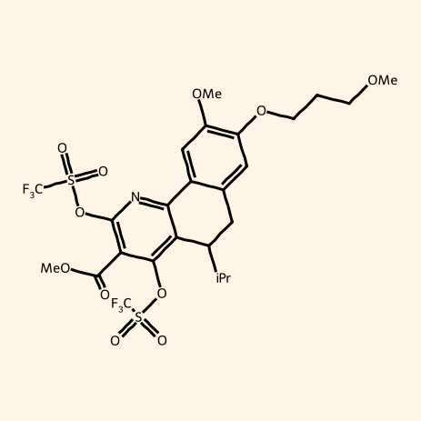 COCCCOc1cc2c(cc1OC)-c1nc(OS(=O)(=O)C(F)(F)F)c(C(=O)OC)c(OS(=O)(=O)C(F)(F)F)c1C(C(C)C)C2